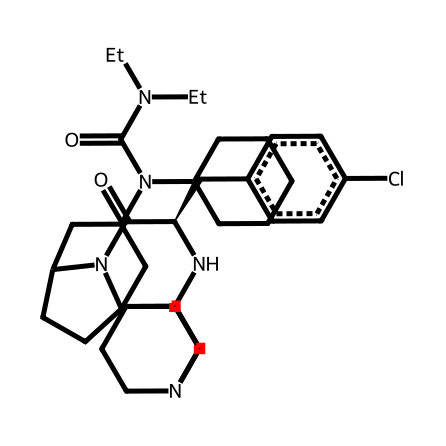 CCN(CC)C(=O)N(C1CCCCC1)C1CC2CCC(C1)N2C(=O)[C@@H](Cc1ccc(Cl)cc1)NC1CN2CCC1CC2